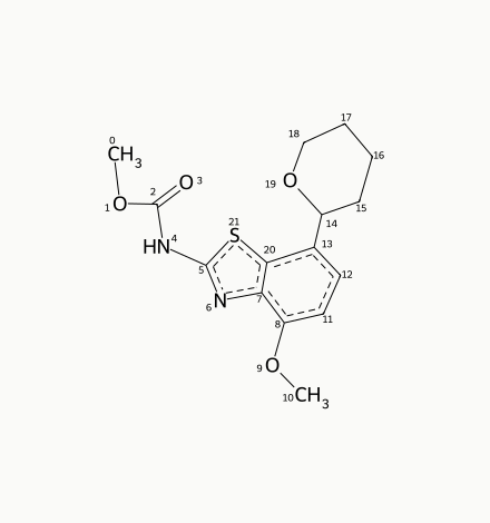 COC(=O)Nc1nc2c(OC)ccc(C3CCCCO3)c2s1